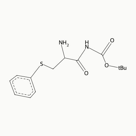 CC(C)(C)OC(=O)NC(=O)C(N)CSc1ccccc1